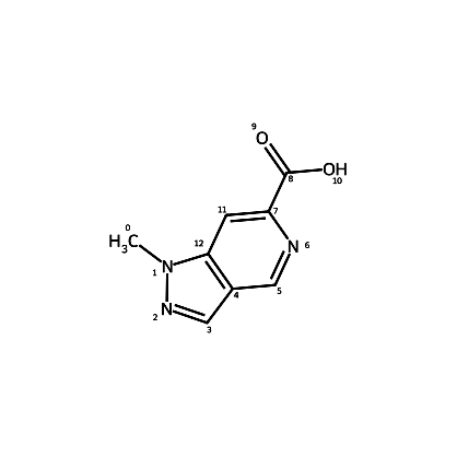 Cn1ncc2cnc(C(=O)O)cc21